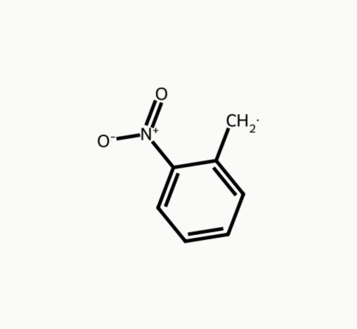 [CH2]c1ccccc1[N+](=O)[O-]